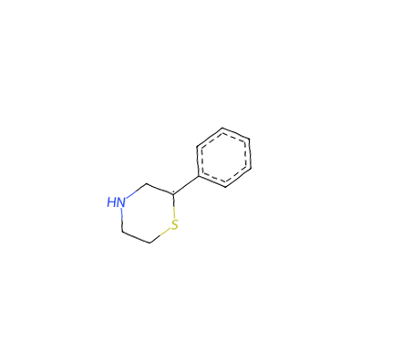 c1ccc([C]2CNCCS2)cc1